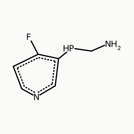 NCPc1cnccc1F